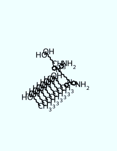 CCCCCCCC(O)O.CCCCCCCC(O)O.CCCCCCCC(O)O.CCCCCCCC(O)O.CCCCCCCC(O)O.CCCCCCCC(O)O.CCCCCCCC(O)O.CCCCCCCC(O)O.Nc1ccc(N(CCCCCCCCN(c2ccccc2)c2ccc(N)cc2)c2ccccc2)cc1